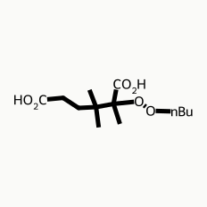 CCCCOOC(C)(C(=O)O)C(C)(C)CCC(=O)O